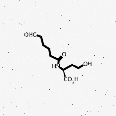 O=CCCCCC(=O)N[C@@H](CCO)C(=O)O